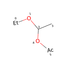 [CH2]COC(C)OC(C)=O